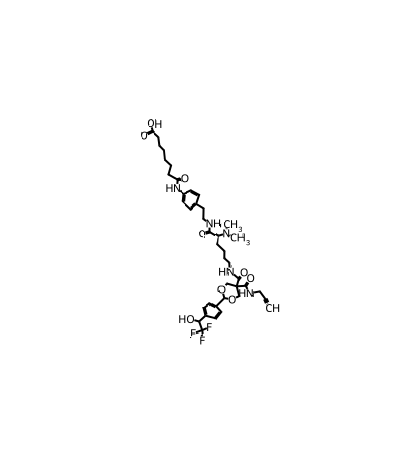 C#CCNC(=O)C1(C(=O)NCCCC[C@@H](C(=O)NCCc2ccc(NC(=O)CCCCCCC(=O)O)cc2)N(C)C)COC(c2ccc(C(O)C(F)(F)F)cc2)OC1